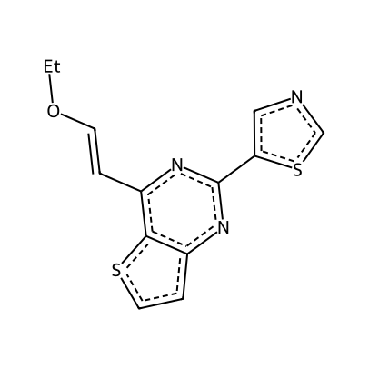 CCOC=Cc1nc(-c2cncs2)nc2ccsc12